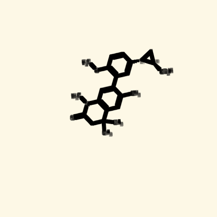 Cc1cc2c(cc1-c1cc([C@@H]3C[C@H]3C(=O)O)ccc1OC(F)(F)F)N(C)C(=O)CC2(C)C